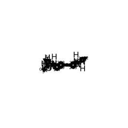 CC(C)(C)OC(=O)N1[C@@H]2C[C@@H]2C[C@H]1c1nc2ccc3cc(C#Cc4ccc5nc([C@@H]6CC7CC7N6)[nH]c5c4)ccc3c2[nH]1